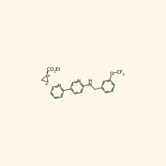 CCOC(=O)[C@@H]1C[C@H]1c1cccc(-c2ccc(NCc3cccc(OC(F)(F)F)c3)nc2)n1